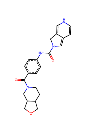 O=C(Nc1ccc(C(=O)N2CCC3COCC3C2)cc1)N1C=C2C=CNC=C2C1